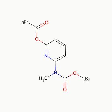 CCCC(=O)Oc1cccc(N(C)C(=O)OC(C)(C)C)n1